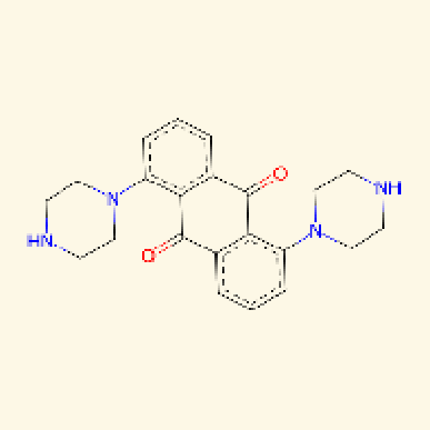 O=C1c2cccc(N3CCNCC3)c2C(=O)c2cccc(N3CCNCC3)c21